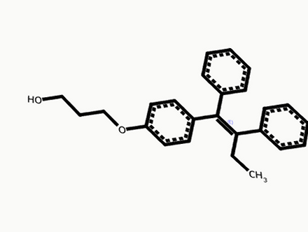 CC/C(=C(/c1ccccc1)c1ccc(OCCCO)cc1)c1ccccc1